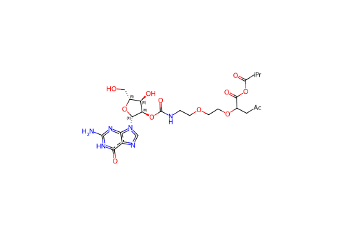 CC(=O)CC(OCCOCCNC(=O)O[C@@H]1[C@H](O)[C@@H](CO)O[C@H]1n1cnc2c(=O)[nH]c(N)nc21)C(=O)OC(=O)C(C)C